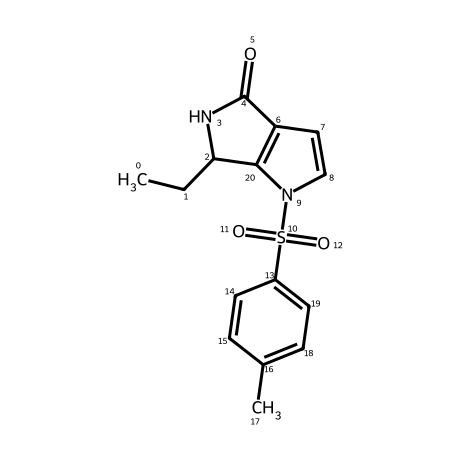 CCC1NC(=O)c2ccn(S(=O)(=O)c3ccc(C)cc3)c21